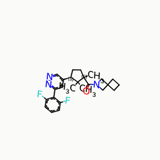 CC1(C)[C@@H](c2cnnc(-c3c(F)cccc3F)c2)CC[C@]1(C)C(=O)N1CC2(CCC2)C1